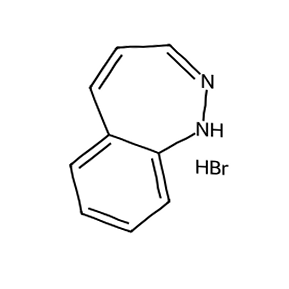 Br.C1=Cc2ccccc2NN=C1